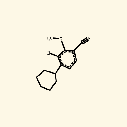 COc1c(C#N)ccc(C2CCCCC2)c1Cl